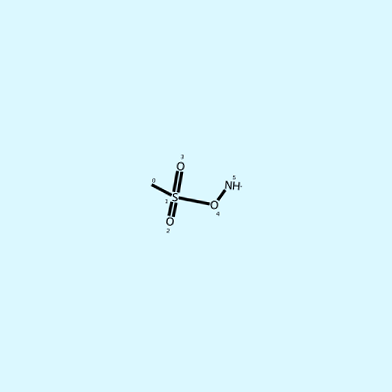 CS(=O)(=O)O[NH]